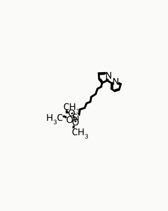 CCO[Si](CCCCCCCCCc1cccnc1-c1ccccn1)(OCC)OCC